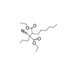 CCCCCCC(C(=O)OCC)C(C#N)(CCC)C(=O)OCC